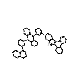 c1cc(-c2ccc3c(c2)[nH]c2c4ccccc4c4ccccc4c32)cc(-c2c3ccccc3c(-c3cccc(-c4cccc5ccccc45)c3)c3ccccc23)c1